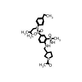 CCc1ccc(N(CC(C)C)S(=O)(=O)c2ccc(NCC3CCN(C(C)=O)C3)c(S(C)(=N)=O)c2)cc1